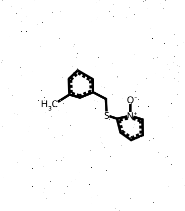 Cc1cccc(CSc2cccc[n+]2[O-])c1